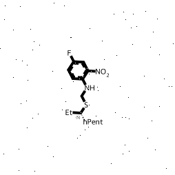 CCCCC[C@H](CC)SCNc1ccc(F)cc1[N+](=O)[O-]